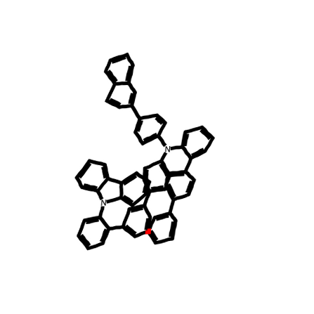 c1ccc(-c2ccc(-c3ccccc3N(c3ccc(-c4cccc(-c5ccccc5-n5c6ccccc6c6ccccc65)c4)cc3)c3ccc(-c4ccc5ccccc5c4)cc3)cc2)cc1